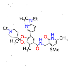 CCN1CCC([C@]2(C)Oc3c(-c4ccc(N(C)CC)nc4)cc(C(=O)NCc4c(SC)cc(C)[nH]c4=O)c(C)c3O2)CC1